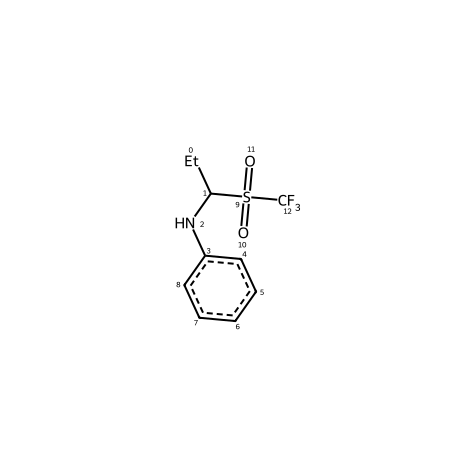 CCC(Nc1ccccc1)S(=O)(=O)C(F)(F)F